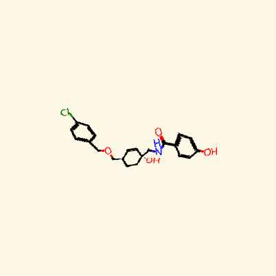 O=C(NC[C@]1(O)CC[C@H](COCc2ccc(Cl)cc2)CC1)c1ccc(O)cc1